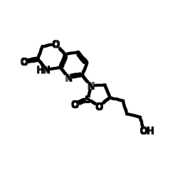 O=C1COc2ccc(N3CC(CCCO)OS3=O)nc2N1